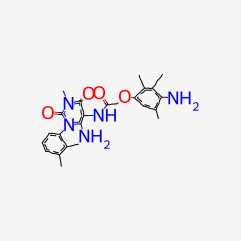 Cc1cccc(-n2c(N)c(NC(=O)COc3cc(C)c(N)c(C)c3C)c(=O)n(C)c2=O)c1C